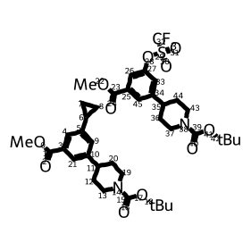 COC(=O)c1cc(C2CC2)cc(C2CCN(C(=O)OC(C)(C)C)CC2)c1.COC(=O)c1cc(OS(=O)(=O)C(F)(F)F)cc(C2CCN(C(=O)OC(C)(C)C)CC2)c1